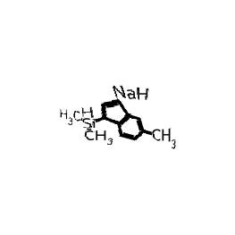 Cc1ccc2c(c1)C=CC2[SiH](C)C.[NaH]